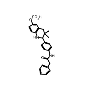 CC1(C)Cc2cc(OC(=O)O)ccc2NC1c1ccc(NC(=O)Cc2ccccc2)cc1